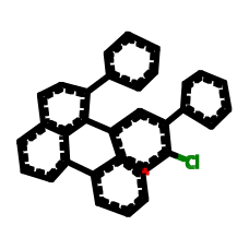 Clc1ccc(-c2c(-c3ccccc3)ccc3cccc(-c4ccccc4)c23)cc1-c1ccccc1